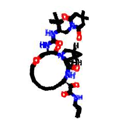 C=CCNC(=O)C(=O)[C@@H]1CCCCCCCOC[C@H](NC(=O)N[C@H](CN2C(=O)CC(C)(C)CC2=O)C(C)(C)C)C(=O)N2C[C@@H]3C[C@@H]3[C@H]2C(=O)N1